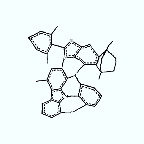 Cc1cccc(C)c1-c1nc2cc3c(c4c2n1-c1cc(C)c2c5cccc6c5n5c2c1B4c1cccc(c1-5)O6)C1(C)CCC3(C)CC1